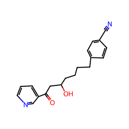 N#Cc1ccc(CCCCC(O)CC(=O)c2cccnc2)cc1